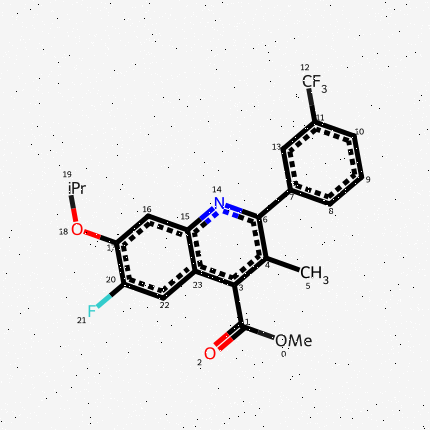 COC(=O)c1c(C)c(-c2cccc(C(F)(F)F)c2)nc2cc(OC(C)C)c(F)cc12